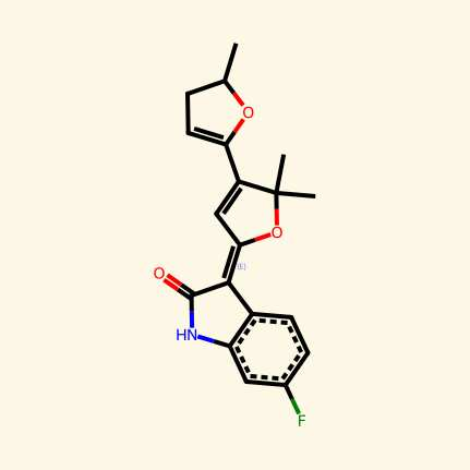 CC1CC=C(C2=C/C(=C3\C(=O)Nc4cc(F)ccc43)OC2(C)C)O1